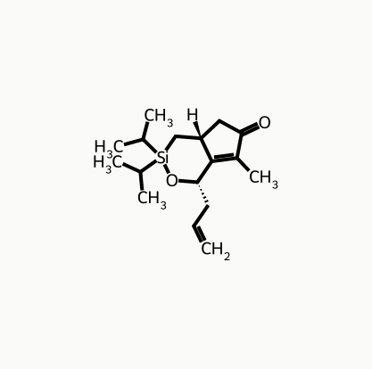 C=CC[C@@H]1O[Si](C(C)C)(C(C)C)C[C@@H]2CC(=O)C(C)=C21